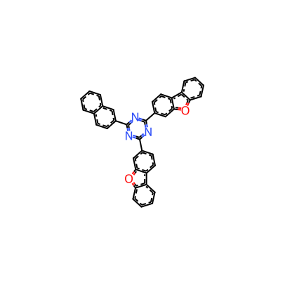 c1ccc2cc(-c3nc(-c4ccc5c(c4)oc4ccccc45)nc(-c4ccc5c(c4)oc4ccccc45)n3)ccc2c1